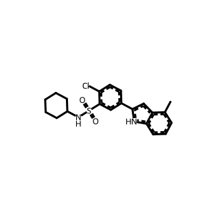 Cc1cccc2[nH]c(-c3ccc(Cl)c(S(=O)(=O)NC4CCCCC4)c3)cc12